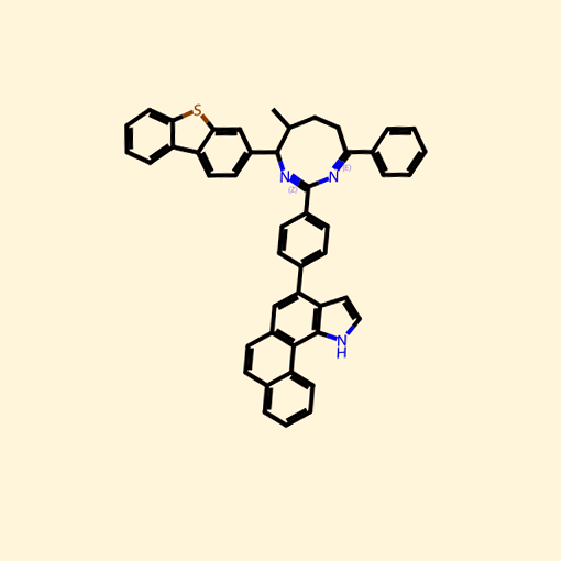 CC1CC/C(c2ccccc2)=N\C(c2ccc(-c3cc4ccc5ccccc5c4c4[nH]ccc34)cc2)=N/C1c1ccc2c(c1)sc1ccccc12